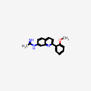 COc1ccccc1-c1ccc2ccc(NC(C)=N)cc2n1